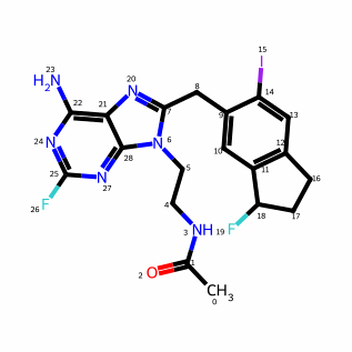 CC(=O)NCCn1c(Cc2cc3c(cc2I)CCC3F)nc2c(N)nc(F)nc21